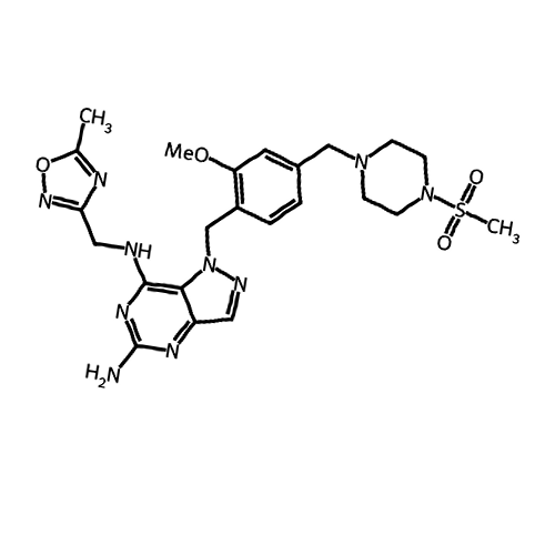 COc1cc(CN2CCN(S(C)(=O)=O)CC2)ccc1Cn1ncc2nc(N)nc(NCc3noc(C)n3)c21